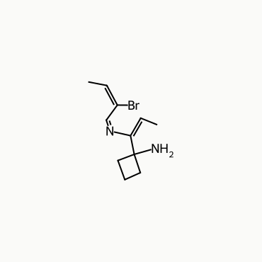 CC=C(/N=C\C(Br)=C/C)C1(N)CCC1